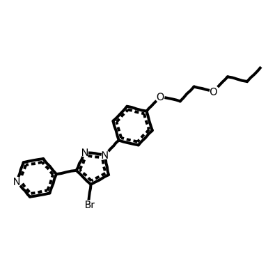 CCCOCCOc1ccc(-n2cc(Br)c(-c3ccncc3)n2)cc1